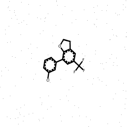 FC(F)(F)c1cc2c(c(-c3cccc(Cl)c3)c1)O[CH]C2